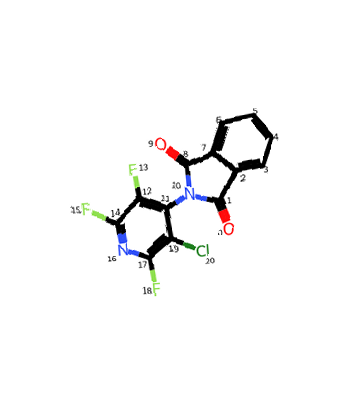 O=C1c2ccccc2C(=O)N1c1c(F)c(F)nc(F)c1Cl